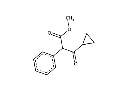 COC(=O)C(C(=O)C1CC1)c1ccccc1